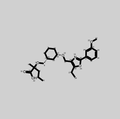 CCCC(C)(OC[C@@H]1CCC[C@H](OCc2nc(-c3cccc(OC)c3)oc2CC)C1)C(=O)O